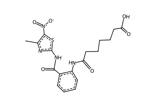 Cc1nc(NC(=O)c2ccccc2NC(=O)CCCCCC(=O)O)sc1[N+](=O)[O-]